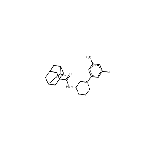 O=C(N[C@H]1CCCN(c2cc(F)cc(C(F)(F)F)c2)C1)C12CC3CC(C1)C(O)C(C3)C2